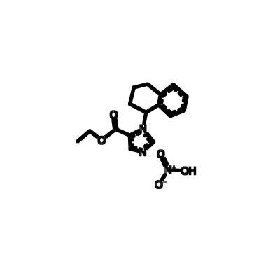 CCOC(=O)c1cncn1C1CCCc2ccccc21.O=[N+]([O-])O